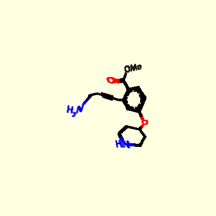 COC(=O)c1ccc(OC2CCNCC2)cc1C#CCN